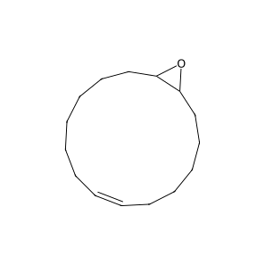 C1=CCCCCCC2OC2CCCCCC1